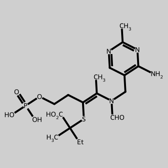 CCC(C)(S/C(CCOP(=O)(O)O)=C(/C)N(C=O)Cc1cnc(C)nc1N)C(=O)O